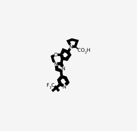 CC(C)(c1cc(-c2cn3c(n2)-c2ccc(N4CCC[C@H]4C(=O)O)cc2OCC3)ccn1)C(F)(F)F